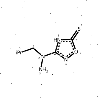 CC(C)CN(N)c1noc(=S)[nH]1